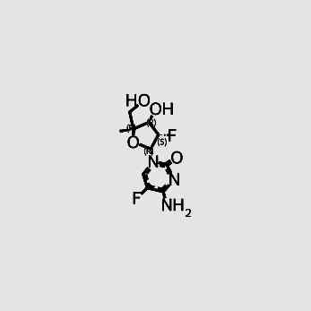 C[C@]1(CO)O[C@@H](n2cc(F)c(N)nc2=O)[C@@H](F)[C@@H]1O